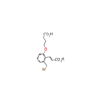 O=C(O)/C=C/c1c(CBr)cccc1OCCCC(=O)O